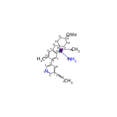 CC#Cc1cncc(-c2cc3c(cc2C)CC2(CCC(OC)CC2)C32N=C(C)C(N)=N2)c1